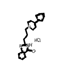 Cl.O=c1[nH]c(CCCN2CC=C(c3ccccc3)CC2)nc2ccccc12